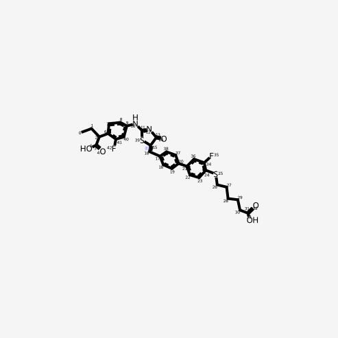 CCC(C(=O)O)c1ccc(NC2=NC(=O)/C(=C\c3ccc(-c4ccc(SCCCCCC(=O)O)c(F)c4)cc3)S2)cc1F